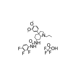 CCCN1CCC2(c3ccc(OC)c(OC)c3)CCC(NC(=O)Nc3ccc(F)c(F)c3F)CC12.O=C(O)C(F)(F)F